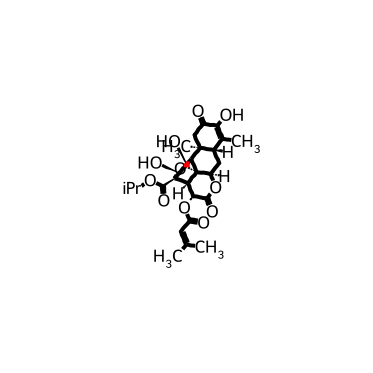 CC(C)=CC(=O)O[C@H]1C(=O)O[C@@H]2C[C@H]3C(C)=C(O)C(=O)C[C@]3(C)C3[C@@H](O)[C@H](O)[C@@]4(C(=O)OC(C)C)OC[C@]32[C@@H]14